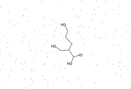 CCC(O)C(CO)CCCO